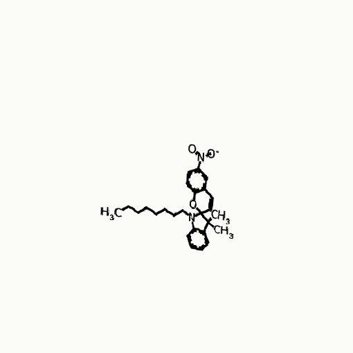 CCCCCCCCN1c2ccccc2C(C)(C)C12C=Cc1cc([N+](=O)[O-])ccc1O2